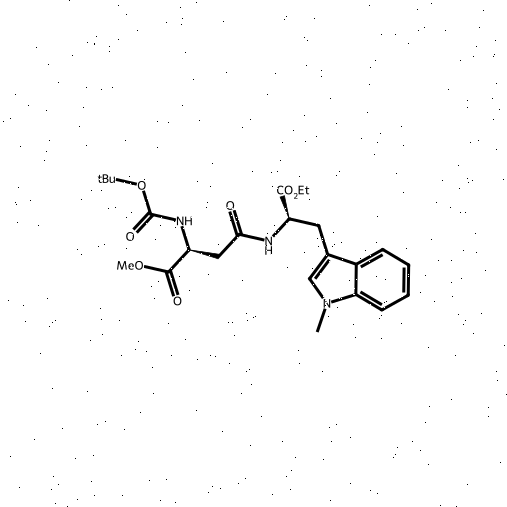 CCOC(=O)[C@@H](Cc1cn(C)c2ccccc12)NC(=O)C[C@H](NC(=O)OC(C)(C)C)C(=O)OC